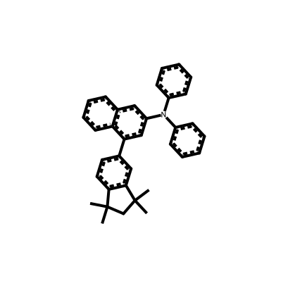 CC1(C)CC(C)(C)c2cc(-c3cc(N(c4ccccc4)c4ccccc4)cc4ccccc34)ccc21